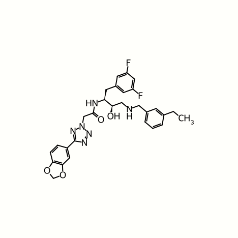 CCc1cccc(CNC[C@@H](O)[C@H](Cc2cc(F)cc(F)c2)NC(=O)Cn2nnc(-c3ccc4c(c3)OCO4)n2)c1